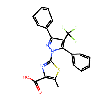 Cc1sc(-n2nc(-c3ccccc3)c(C(F)(F)F)c2-c2ccccc2)nc1C(=O)O